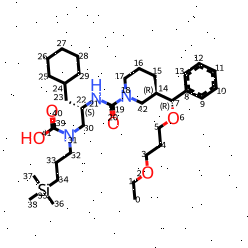 CCOCCCO[C@@H](c1ccccc1)[C@@H]1CCCN(C(=O)N[C@@H](CC2CCCCC2)CN(CCC[Si](C)(C)C)C(=O)O)C1